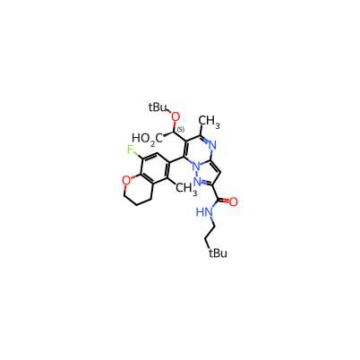 Cc1nc2cc(C(=O)NCCC(C)(C)C)nn2c(-c2cc(F)c3c(c2C)CCCO3)c1[C@H](OC(C)(C)C)C(=O)O